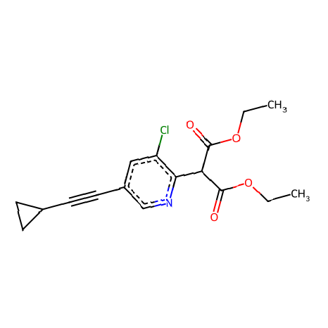 CCOC(=O)C(C(=O)OCC)c1ncc(C#CC2CC2)cc1Cl